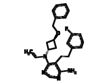 C=CN(c1ncnc(N)c1CCc1cccc(F)c1)[C@H]1C[C@H](OCc2ccccc2)C1